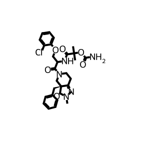 CN1N=C2CCN(C(=O)C(COc3ccccc3Cl)NC(=O)C(C)(C)OC(N)=O)C[C@@]2(Cc2ccccc2)C1=O